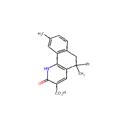 Cc1ccc2c(c1)-c1[nH]c(=O)c(C(=O)O)cc1C(C)(C(C)C)C2